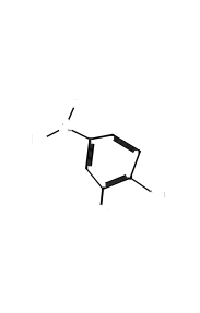 CCN(CC)c1ccc(C(C)C)c(C(C)C)c1